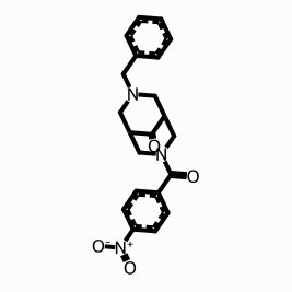 O=C1C2CN(Cc3ccccc3)CC1CN(C(=O)c1ccc([N+](=O)[O-])cc1)C2